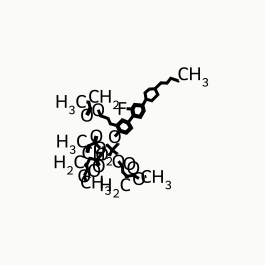 C=C(C)C(=O)OCCCc1cc(-c2ccc(C3CCC(CCCCC)CC3)cc2F)ccc1OCC(COC(=O)CC(=C)C(=O)OC)(COC(=O)CC(=C)C(=O)OC)COC(=O)C(=C)C